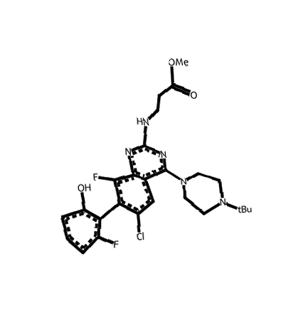 COC(=O)CCNc1nc(N2CCN(C(C)(C)C)CC2)c2cc(Cl)c(-c3c(O)cccc3F)c(F)c2n1